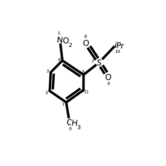 Cc1ccc([N+](=O)[O-])c(S(=O)(=O)C(C)C)c1